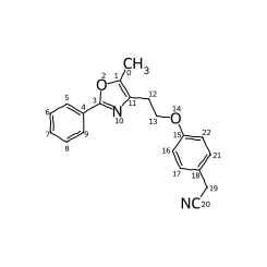 Cc1oc(-c2ccccc2)nc1CCOc1ccc(CC#N)cc1